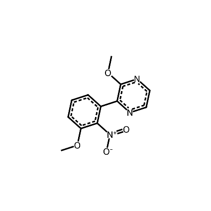 COc1cccc(-c2nccnc2OC)c1[N+](=O)[O-]